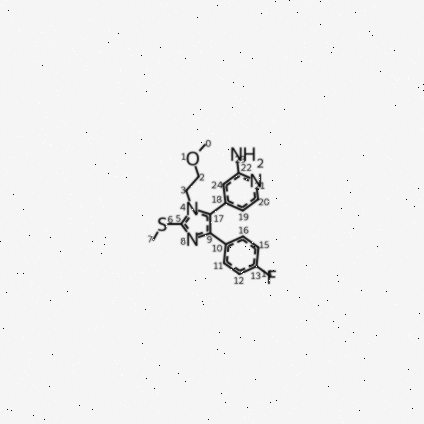 COCCn1c(SC)nc(-c2ccc(F)cc2)c1-c1ccnc(N)c1